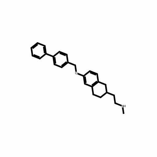 CNCCC1CCc2cc(OCc3ccc(-c4ccccc4)cc3)ccc2C1